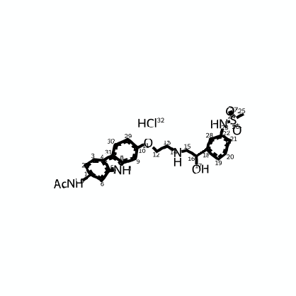 CC(=O)Nc1ccc2c(c1)[nH]c1cc(OCCNCC(O)c3cccc(NS(C)(=O)=O)c3)ccc12.Cl